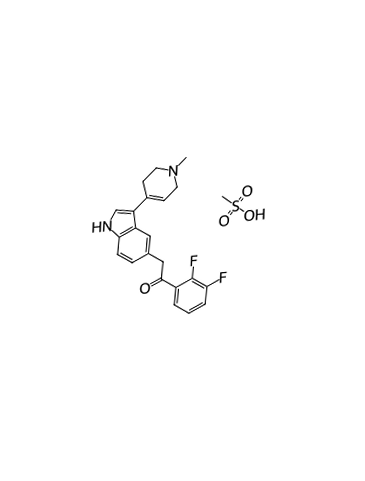 CN1CC=C(c2c[nH]c3ccc(CC(=O)c4cccc(F)c4F)cc23)CC1.CS(=O)(=O)O